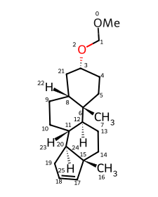 COCO[C@@H]1CC[C@@]2(C)[C@H](CC[C@@H]3[C@@H]2CC[C@]2(C)C=CC[C@@H]32)C1